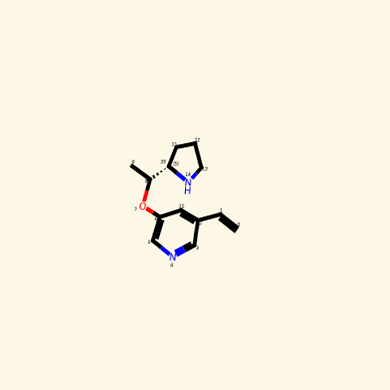 C=Cc1cncc(OC(C)[C@@H]2CCCN2)c1